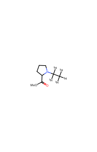 [2H]C([2H])([2H])C([2H])([2H])N1CCCC1C(=O)OC